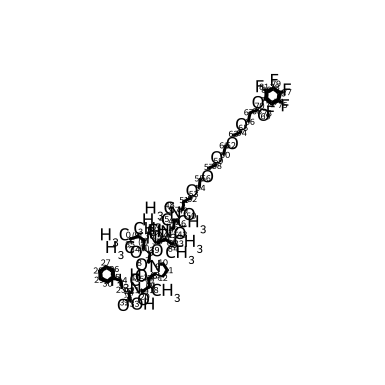 CC[C@H](C)[C@@H]([C@@H](CC(=O)N1CCC[C@H]1[C@H](OC)[C@@H](C)C(=O)N[C@@H](CCc1ccccc1)C(=O)O)OC)N(C)C(=O)[C@@H](NC(=O)C(C)(C)N(C)C(=O)CCOCCOCCOCCOCCOCCC(=O)Oc1c(F)c(F)c(F)c(F)c1F)C(C)C